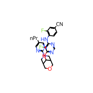 CCCc1cnc(N2CC3COCC(C2)C3Oc2ncnc(Nc3ccc(C#N)cc3F)c2F)nc1